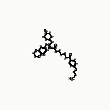 CCCOc1ccc(C(=O)CCCCCC(=O)N[C@@H](Cc2ccc3c(c2)OCCO3)CN2CCC(F)CC2)cc1